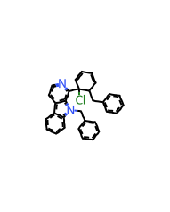 ClC1(c2nccc3c4ccccc4n(Cc4ccccc4)c23)C=CC=CC1Cc1ccccc1